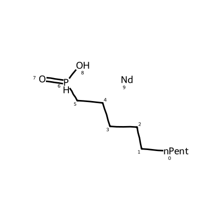 CCCCCCCCCC[PH](=O)O.[Nd]